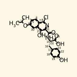 CC(C)Oc1ccc2c(Cl)nc(C(=O)N[C@@H](Cc3ccc(O)cc3)C(=O)O)c(O)c2c1